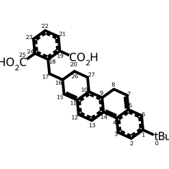 CC(C)(C)c1ccc2c(c1)=CCc1c3c(ccc1=2)=CC(Cc1c(C(=O)O)cccc1C(=O)O)CC3